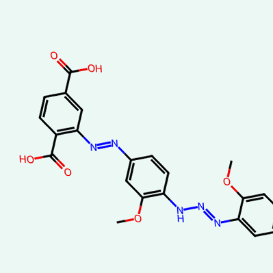 COc1ccccc1/N=N/Nc1ccc(/N=N/c2cc(C(=O)O)ccc2C(=O)O)cc1OC